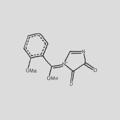 COC(c1ccccc1OC)=[N+]1C=NC(=O)C1=O